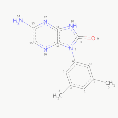 Cc1cc(C)cc(-n2c(=O)[nH]c3nc(N)cnc32)c1